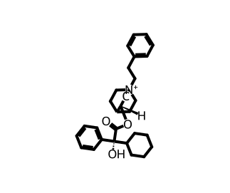 O=C(O[C@H]1C[N+]2(CCc3ccccc3)CCC1CC2)[C@](O)(c1ccccc1)C1CCCCC1